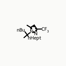 CCCCCCCC(C)(CCCC)n1nc(C(F)(F)F)cc1C